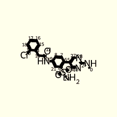 CNc1ncc(-c2ccc(NC(=O)Cc3ccccc3Cl)cc2S(N)(=O)=O)cn1